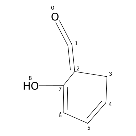 O=C=C1CC=C[C]=C1O